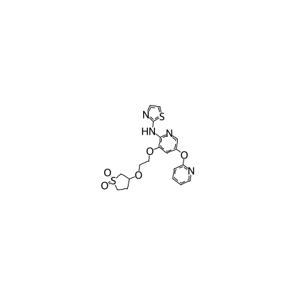 O=S1(=O)CCC(OCCOc2cc(Oc3ccccn3)cnc2Nc2nccs2)C1